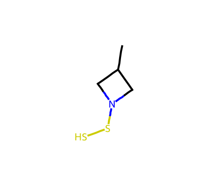 CC1CN(SS)C1